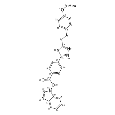 CCCCCCOc1ccc(CCc2nnc(-c3ccc(C(=O)On4nnc5ccccc54)cc3)s2)cc1